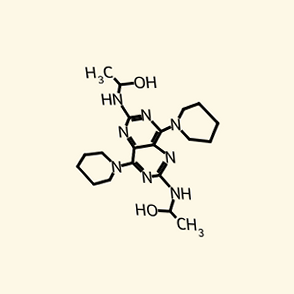 CC(O)Nc1nc(N2CCCCC2)c2nc(NC(C)O)nc(N3CCCCC3)c2n1